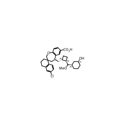 COC([C@@H]1CCC[C@H](O)C1)[C@@H]1CC[C@H]1CN1CC2(CCCc3cc(Cl)ccc32)COc2ccc(C(=O)O)cc21